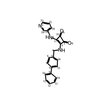 O=c1c(NCc2ccc(-c3ccccc3)cc2)c(Nc2cccnc2)c1=O